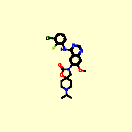 COc1cc2ncnc(Nc3cccc(Cl)c3F)c2cc1N1CC2(CCN(C(C)C)CC2)OC1=O